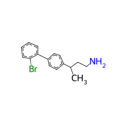 CC(CCN)c1ccc(-c2ccccc2Br)cc1